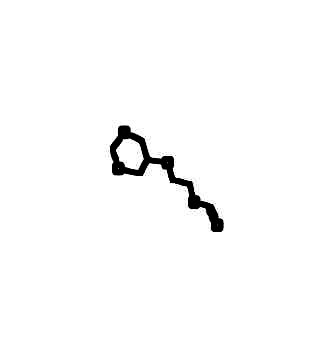 O=COCCOC1COCOC1